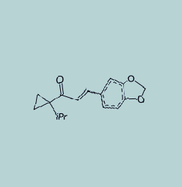 CC(C)C1(C(=O)/C=C/c2ccc3c(c2)OCO3)CC1